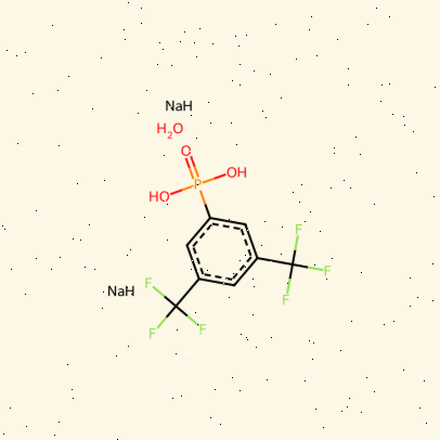 O.O=P(O)(O)c1cc(C(F)(F)F)cc(C(F)(F)F)c1.[NaH].[NaH]